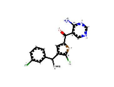 CNC(c1cccc(Cl)c1)c1cc(C(=O)c2cncnc2N)sc1Cl